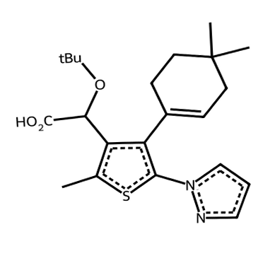 Cc1sc(-n2cccn2)c(C2=CCC(C)(C)CC2)c1C(OC(C)(C)C)C(=O)O